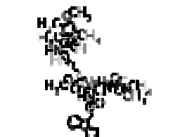 COC(=O)[C@H](CCCNC(=N)NS(=O)(=O)c1c(C)cc(OC)c(C)c1C)NC(=O)C1(NC(=O)OCC2c3ccccc3-c3ccccc32)CCN(C(=O)OC(C)(C)C)CC1